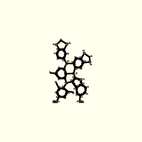 Cc1cc2c3c(c1)N(c1c(C)cc(C(C)(C)C)cc1C)c1c(oc4ccc(C(C)(C)C)cc14)B3c1cc3c(cc1N2c1ccc2c(c1)OCO2)OCO3